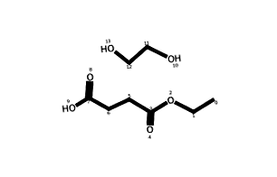 CCOC(=O)CCC(=O)O.OCCO